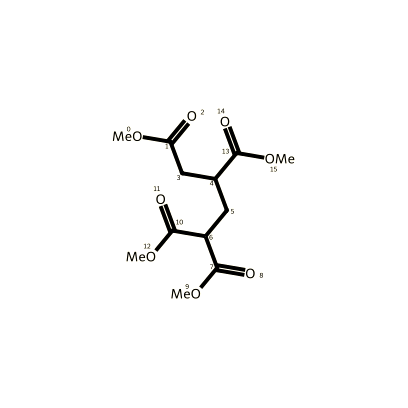 COC(=O)CC(CC(C(=O)OC)C(=O)OC)C(=O)OC